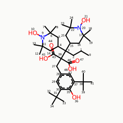 CCCC(C1CC(C)(C)N(O)C(C)(C)C1)(C1CC(C)(C)N(O)C(C)(C)C1)C(Cc1cc(C(C)(C)C)c(O)c(C(C)(C)C)c1)(C(=O)O)C(=O)O